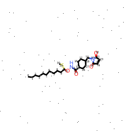 CCCCCCCCCCC(ONC(=O)C1CCC(CN2C(=O)C=CC2=O)CC1)SC